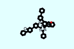 c1ccc(-c2ccc3c(c2)c2cc(-c4ccccc4)ccc2n3-c2ccc(-c3ccc4c(c3)oc3ccccc34)cc2-c2nc(-c3ccccc3)nc(-c3ccccc3)n2)cc1